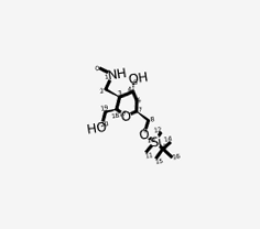 CNC[C@H]1[C@H](O)C[C@@H](CO[Si](C)(C)C(C)(C)C)O[C@H]1CO